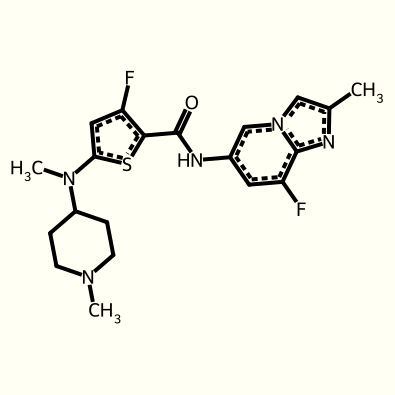 Cc1cn2cc(NC(=O)c3sc(N(C)C4CCN(C)CC4)cc3F)cc(F)c2n1